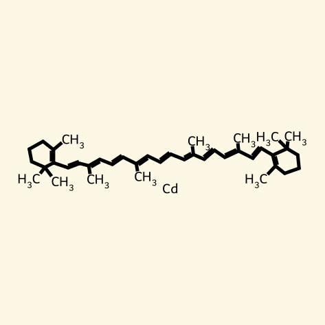 CC1=C(/C=C/C(C)=C/C=C/C(C)=C/C=C/C=C(C)/C=C/C=C(C)/C=C/C2=C(C)CCCC2(C)C)C(C)(C)CCC1.[Cd]